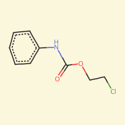 O=C(Nc1ccccc1)OCCCl